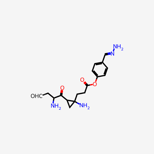 NN=Cc1ccc(OC(=O)CCC2(N)CC2C(=O)C(N)CC=O)cc1